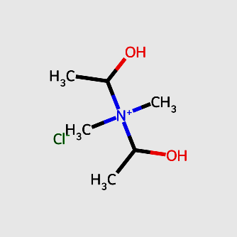 CC(O)[N+](C)(C)C(C)O.[Cl-]